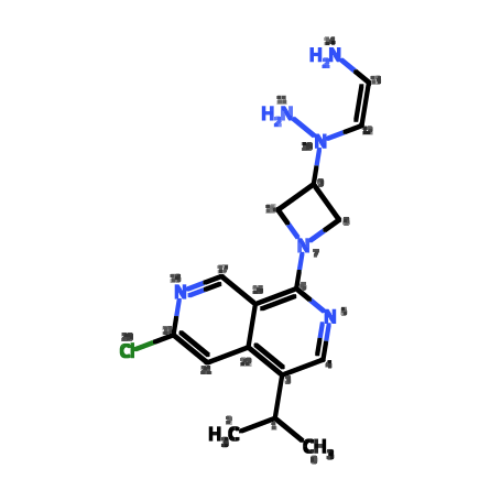 CC(C)c1cnc(N2CC(N(N)/C=C\N)C2)c2cnc(Cl)cc12